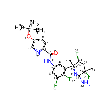 BC(B)(B)Oc1ccc(C(=O)Nc2cc(F)c(F)c([C@@]3(C)N=C(N)[C@@](C)(F)C[C@@H]3F)c2)nc1